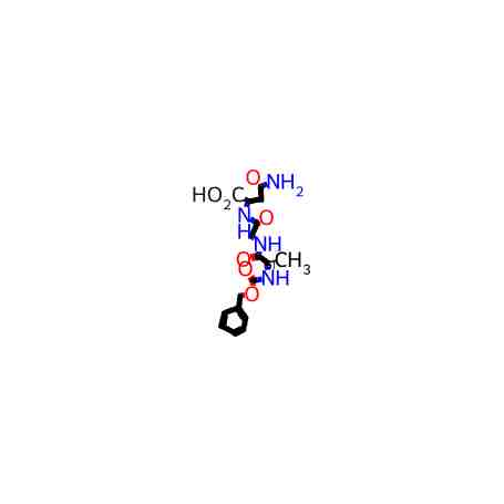 C[C@H](NC(=O)OCc1ccccc1)C(=O)NCC(=O)NC(CC(N)=O)C(=O)O